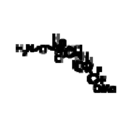 COc1ccc(-c2cnc3c(Nc4ccc(S(=O)(=O)NCCOCCN)c(Cl)c4)nccn23)c(F)c1F.Cl